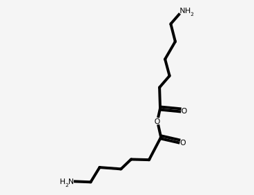 NCCCCCC(=O)OC(=O)CCCCCN